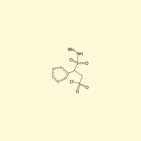 CC(C)(C)NS(=O)(=O)C(CS(=O)(=O)Cl)c1ccccc1